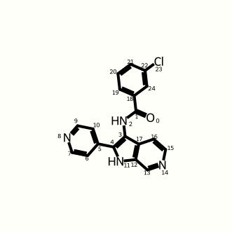 O=C(Nc1c(-c2ccncc2)[nH]c2cnccc12)c1cccc(Cl)c1